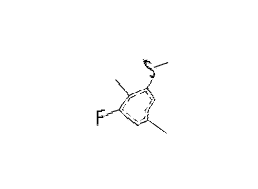 CSc1cc(C)cc(F)c1C